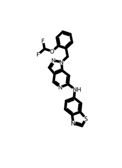 FC(F)Oc1ccccc1Cn1ncc2cnc(Nc3ccc4ncsc4c3)cc21